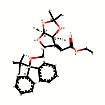 CCOC(=O)/C=C1/[C@@H](CO[Si](c2ccccc2)(c2ccccc2)C(C)(C)C)O[C@H]2OC(C)(C)O[C@@H]12